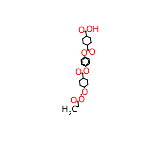 C=CC(=O)OCOC1CCC(C(=O)Oc2ccc(OC(=O)C3CCC(C(=O)O)CC3)cc2)CC1